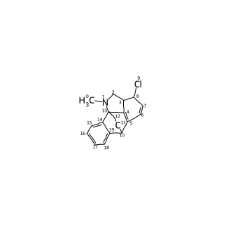 CN1CC2C3=C(C=CC2Cl)C2CCC31c1ccccc12